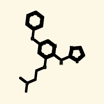 CN(C)CCOc1cc(Oc2ccccc2)cnc1Nc1nccs1